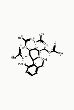 COc1cccc(CO)c1[C@@H]1O[C@H](COC(=O)C(C)(C)C)[C@@H](OC(=O)C(C)(C)C)[C@H](OC(=O)C(C)(C)C)[C@H]1OC(=O)C(C)(C)C